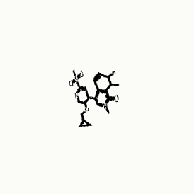 CC1c2c(c(-c3cc(S(C)(=O)=O)ncc3OCC3CC3)cn(C)c2=O)C=CC1F